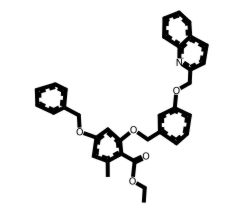 CCOC(=O)c1c(C)cc(OCc2ccccc2)cc1OCc1cccc(OCc2ccc3ccccc3n2)c1